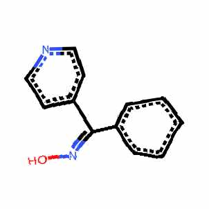 ON=C(c1ccccc1)c1ccncc1